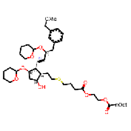 CCCCCCCCC(=O)OCCOC(=O)CCCSCC[C@@H]1[C@@H](/C=C/[C@H](Cc2cccc(COC)c2)OC2CCCCO2)[C@H](OC2CCCCO2)C[C@@H]1O